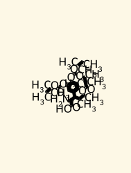 CCC(C)(C)OC(=O)Oc1ccc(C(C(C)C(C)OC(=O)C(C)(C)CC)[C@H](N)C(=O)O)cc1OC(=O)OC(C)(C)CC